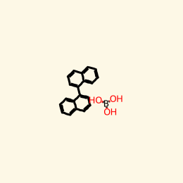 OB(O)O.c1ccc2c(-c3cccc4ccccc34)cccc2c1